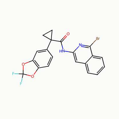 O=C(Nc1cc2ccccc2c(Br)n1)C1(c2ccc3c(c2)OC(F)(F)O3)CC1